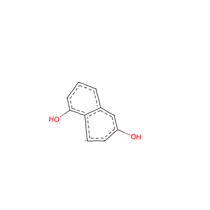 Oc1c[c]c2c(O)cccc2c1